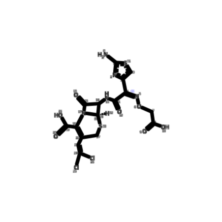 Nc1nc(/C(=N/OCC(=O)O)C(=O)NC2C(=O)N3C(C(=O)O)=C(C=C(Cl)Cl)CS[C@H]23)cs1